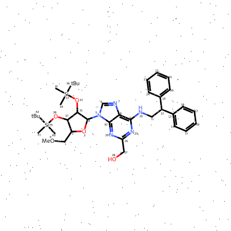 COCC1OC(n2cnc3c(NCC(c4ccccc4)c4ccccc4)nc(CO)nc32)C(O[Si](C)(C)C(C)(C)C)C1O[Si](C)(C)C(C)(C)C